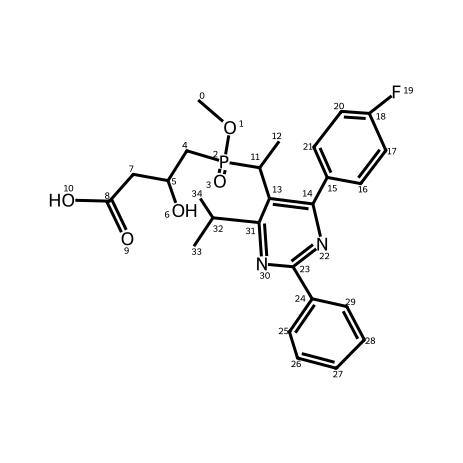 COP(=O)(CC(O)CC(=O)O)C(C)c1c(-c2ccc(F)cc2)nc(-c2ccccc2)nc1C(C)C